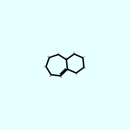 C1=C2CCCC[C]2CCCC1